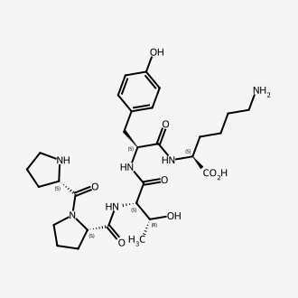 C[C@@H](O)[C@H](NC(=O)[C@@H]1CCCN1C(=O)[C@@H]1CCCN1)C(=O)N[C@@H](Cc1ccc(O)cc1)C(=O)N[C@@H](CCCCN)C(=O)O